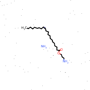 CCCCCCCC/C=C\CCCCCCCCCCCC(=O)OCCCN.N